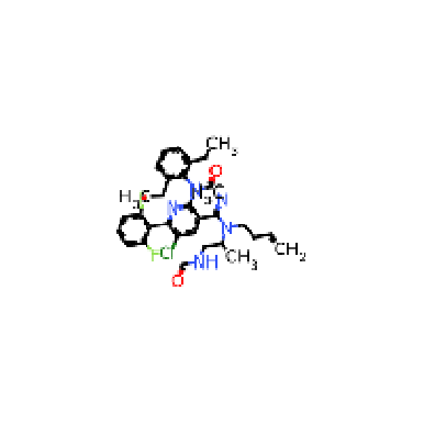 C=CCCN(/C(=N/C)c1cc(Cl)c(-c2c(F)cccc2F)nc1N(C=O)c1c(CC)cccc1CC)C(C)CNC=O